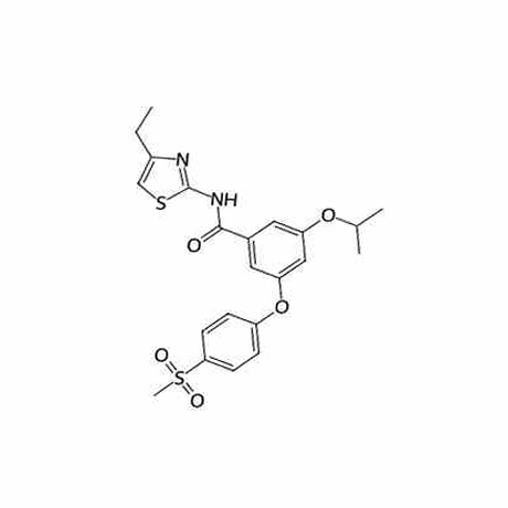 CCc1csc(NC(=O)c2cc(Oc3ccc(S(C)(=O)=O)cc3)cc(OC(C)C)c2)n1